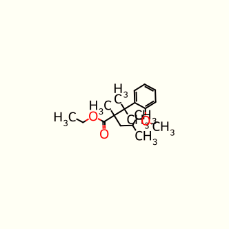 CCOC(=O)C(C)(CC(C)C)C(C)(C)c1ccccc1OC